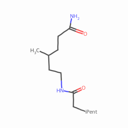 CCCC(C)CC(=O)NCCC(C)CCC(N)=O